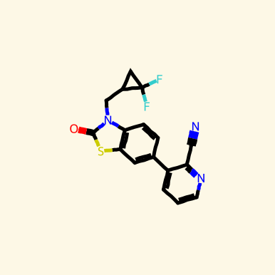 N#Cc1ncccc1-c1ccc2c(c1)sc(=O)n2CC1CC1(F)F